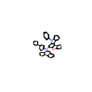 c1ccc(-c2ccc(N(c3cc4ccccc4c4ccccc34)c3cc4c(c5ccccc5n4-c4ccccc4)c4c3oc3ccccc34)cc2)cc1